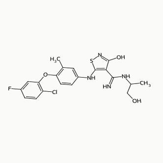 Cc1cc(Nc2snc(O)c2C(=N)NC(C)CO)ccc1Oc1cc(F)ccc1Cl